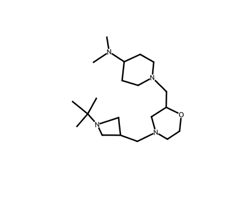 CN(C)C1CCN(CC2CN(CC3CN(C(C)(C)C)C3)CCO2)CC1